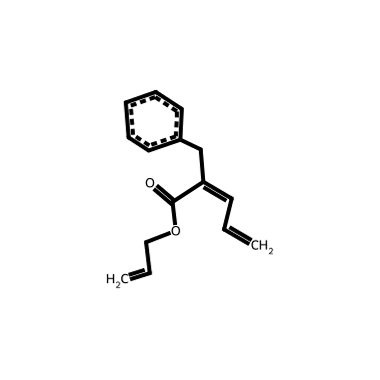 C=CC=C(Cc1ccccc1)C(=O)OCC=C